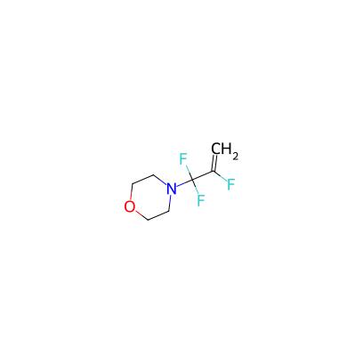 C=C(F)C(F)(F)N1CCOCC1